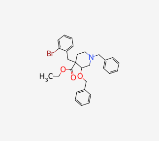 CCOC(=O)C1(Cc2ccccc2Br)CCN(Cc2ccccc2)CC1OCc1ccccc1